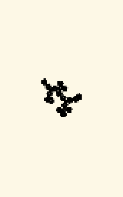 c1ccc(-c2ccc(N(c3ccc(-c4cccc5ccccc45)cc3)c3ccc(-c4c(-c5cccc(-c6ccc(N(c7ccc(-c8ccc9ccccc9c8)cc7)c7ccc(-c8c(-c9ccccc9)c9ccccc9c9ccccc89)cc7)cc6)c5)c5ccccc5c5ccccc45)cc3)cc2)cc1